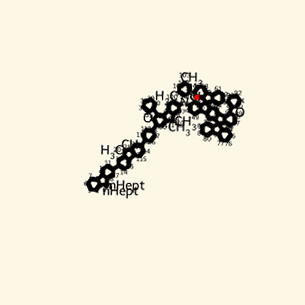 CCCCCCCC1(CCCCCCC)c2ccccc2-c2ccc(-c3ccc4c(c3)C(C)(C)c3cc(-c5ccc(-c6cc7c(c8c6oc6ccccc68)-c6ccc(N(c8ccc9c(c8)C8(c%10ccccc%10-c%10ccccc%108)c8cc%10c(cc8-9)C8(c9ccccc9-c9ccccc98)c8ccc9oc%11ccccc%11c9c8-%10)c8c(C)cc(C)cc8C)cc6C7(C)C)cc5)ccc3-4)cc21